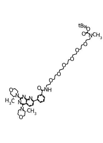 C[C@@H]1COCCN1c1nc(N2CCOC[C@H]2C)c2ccc(-c3cccc(C(=O)NCCOCCOCCOCCOCCOCCOCCN(C)C(=O)OC(C)(C)C)c3)nc2n1